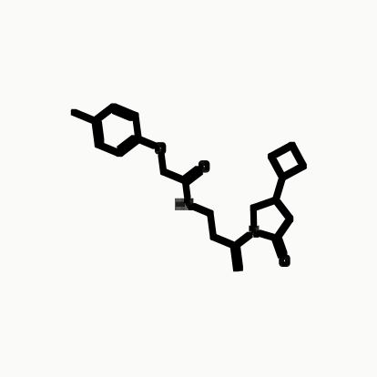 C=C(CCNC(=O)COc1ccc(C)cc1)N1CC(C2CCC2)CC1=O